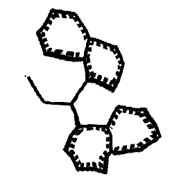 [CH2]CC(c1cccc2ccccc12)c1cccc2ccccc12